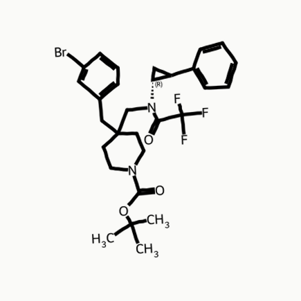 CC(C)(C)OC(=O)N1CCC(Cc2cccc(Br)c2)(CN(C(=O)C(F)(F)F)[C@@H]2CC2c2ccccc2)CC1